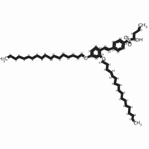 CCCCCCCCCCCCCCCCCCOc1ccc(C=Cc2ccc(S(=O)(=O)C(O)CCC)cc2)c(OCCCCCCCCCCCCCCCCCC)c1